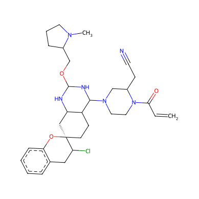 C=CC(=O)N1CCN(C2NC(OCC3CCCN3C)NC3C[C@@]4(CCC32)Oc2ccccc2CC4Cl)CC1CC#N